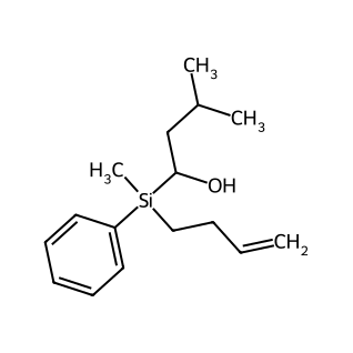 C=CCC[Si](C)(c1ccccc1)C(O)CC(C)C